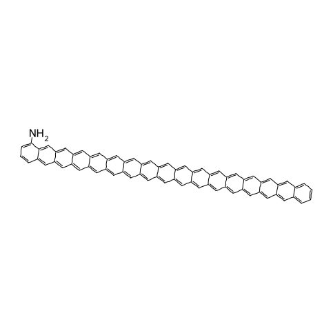 Nc1cccc2cc3cc4cc5cc6cc7cc8cc9cc%10cc%11cc%12cc%13cc%14cc%15cc%16cc%17ccccc%17cc%16cc%15cc%14cc%13cc%12cc%11cc%10cc9cc8cc7cc6cc5cc4cc3cc12